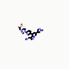 C=NCc1cnn2cc(-c3cnn(C)c3)cc(-c3ccc(N4CCN(C[C@@H](C)OC)CC4)nc3)c12